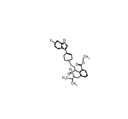 CCOC(=O)c1cccc2c1N(CCN1CC=C(c3c[nH]c4cc(F)ccc34)CC1)S(=O)(=O)N(C(C)C)C2